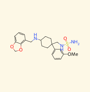 COc1cccc(C2(CNS(N)(=O)=O)CCC(NCc3cccc4c3OCO4)CC2)c1